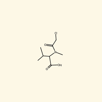 CC(C)C(C(=O)O)N(C)C(=O)CCl